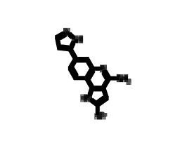 CCCc1cc2c(N)nc3cc(-c4ccn[nH]4)ccc3c2[nH]1